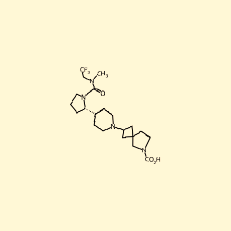 CN(CC(F)(F)F)C(=O)N1CCC[C@H]1C1CCN(C2CC3(CCN(C(=O)O)C3)C2)CC1